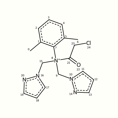 Cc1cccc(C)c1[N+](Cn1cccn1)(Cn1cccn1)C(=O)CCl